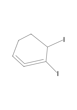 IC1=C=CCCC1I